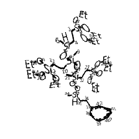 CCO[Si](CC[SiH](C)O[Si](C)(CC[Si](OCC)(OCC)OCC)O[Si](C)(CC[Si](OCC)(OCC)OCC)OO[SiH](C)CCc1ccccc1)(OCC)OCC